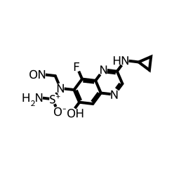 N[S+]([O-])N(CN=O)c1c(O)cc2ncc(NC3CC3)nc2c1F